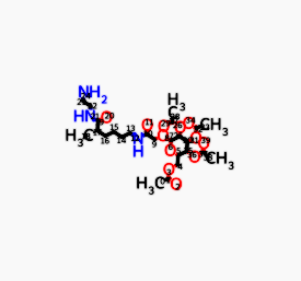 CC(=O)OCC1OC(OCC(=O)NCCCC[C@H](C)C(=O)NCCN)C(OC(C)=O)C(OC(C)=O)C1OC(C)=O